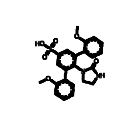 COc1ccccc1-c1cc(S(=O)(=O)O)cc(-c2ccccc2OC)c1N1CCNC1=O